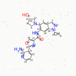 Cn1ncc2cc(N3CC[C@H](O)C3)c(NC(=O)c3coc(-c4cccnc4N)n3)cc21